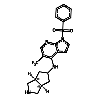 O=S(=O)(c1ccccc1)n1ccc2c(NC3C[C@H]4CNC[C@H]4C3)c(C(F)(F)F)cnc21